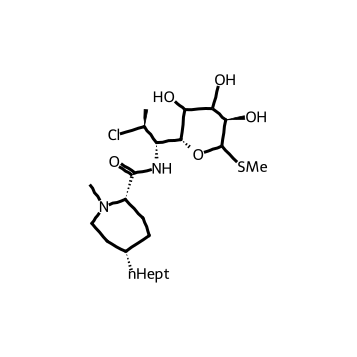 CCCCCCC[C@H]1CC[C@@H](C(=O)N[C@H]([C@H](C)Cl)[C@H]2OC(SC)[C@H](O)C(O)C2O)N(C)CC1